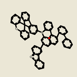 c1ccc(-c2ccccc2-c2ccccc2-c2ccccc2N(c2cccc(-c3ccc4oc5ccccc5c4c3)c2)c2ccc3c(c2)-c2ccccc2C32c3ccccc3Oc3ccccc32)cc1